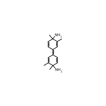 CC1=C/C(=C2\C=CC(C)(N)C(C)=C2)C=CC1(C)N